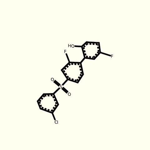 O=S(=O)(c1cccc(Cl)c1)c1ccc(-c2cc(F)ccc2O)c(F)c1